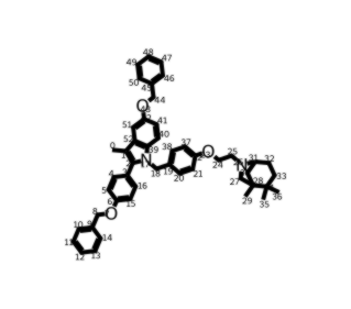 Cc1c(-c2ccc(OCc3ccccc3)cc2)n(Cc2ccc(OCCN3CC4(C)CC3CCC4(C)C)cc2)c2ccc(OCc3ccccc3)cc12